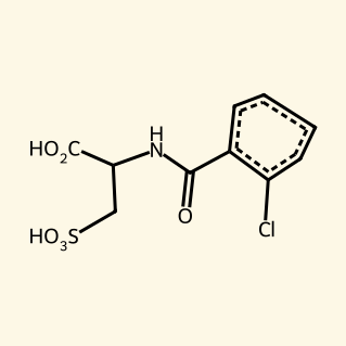 O=C(NC(CS(=O)(=O)O)C(=O)O)c1ccccc1Cl